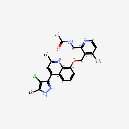 Cc1cc(-c2n[nH]c(C)c2Cl)c2cccc(OCc3c(C)ccnc3CNC(=O)C(C)C)c2n1